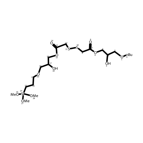 CCCCOCC(O)COC(=O)CSSCC(=O)OCC(O)COCCC[Si](OC)(OC)OC